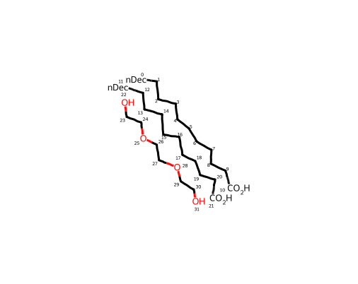 CCCCCCCCCCCCCCCCCCCC(=O)O.CCCCCCCCCCCCCCCCCCCC(=O)O.OCCOCCOCCO